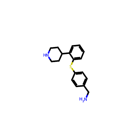 NCc1ccc(Sc2ccccc2C2CCNCC2)cc1